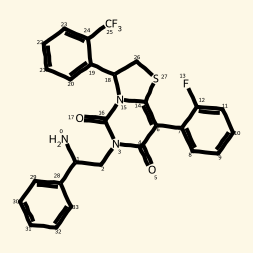 NC(Cn1c(=O)c(-c2ccccc2F)c2n(c1=O)C(c1ccccc1C(F)(F)F)CS2)c1ccccc1